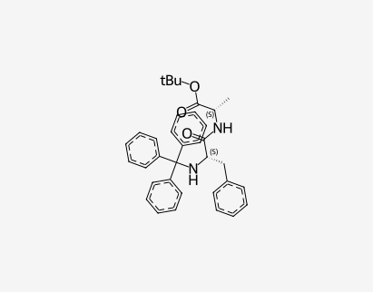 C[C@H](NC(=O)[C@H](Cc1ccccc1)NC(c1ccccc1)(c1ccccc1)c1ccccc1)C(=O)OC(C)(C)C